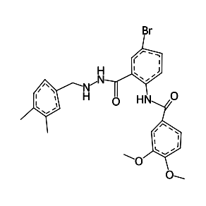 COc1ccc(C(=O)Nc2ccc(Br)cc2C(=O)NNCc2ccc(C)c(C)c2)cc1OC